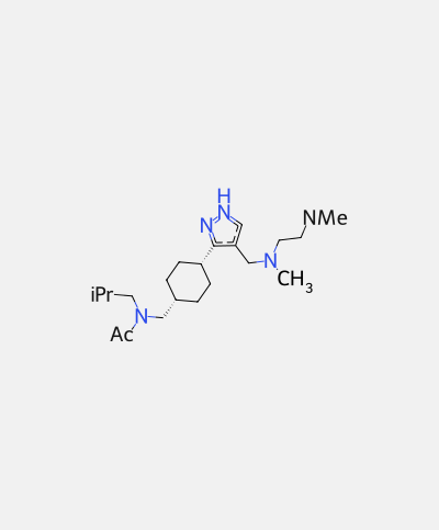 CNCCN(C)Cc1c[nH]nc1[C@H]1CC[C@@H](CN(CC(C)C)C(C)=O)CC1